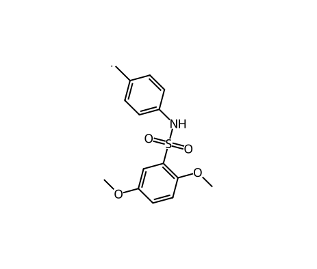 [CH2]c1ccc(NS(=O)(=O)c2cc(OC)ccc2OC)cc1